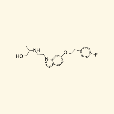 CC(CO)NCCn1ccc2ccc(OCCc3ccc(F)cc3)cc21